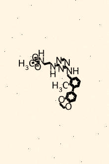 Cc1c(CNc2ncnc(NCCNS(C)(=O)=O)n2)cccc1-c1ccc2c(c1)OCCO2